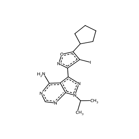 CC(C)n1nc(-c2noc(C3CCCC3)c2I)c2c(N)ncnc21